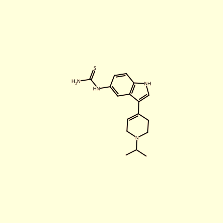 CC(C)N1CC=C(c2c[nH]c3ccc(NC(N)=S)cc23)CC1